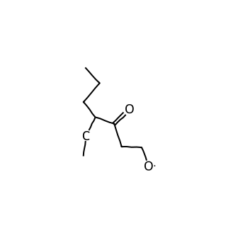 CCCC(CC)C(=O)CC[O]